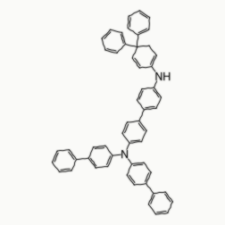 C1=CC(c2ccccc2)(c2ccccc2)CC=C1Nc1ccc(-c2ccc(N(c3ccc(-c4ccccc4)cc3)c3ccc(-c4ccccc4)cc3)cc2)cc1